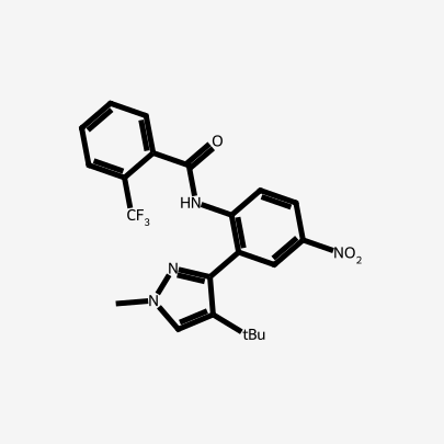 Cn1cc(C(C)(C)C)c(-c2cc([N+](=O)[O-])ccc2NC(=O)c2ccccc2C(F)(F)F)n1